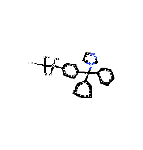 CCCCC(CCCC)(CCCC)[Si](C)(C)c1ccc(C(c2ccccc2)(c2ccccc2)n2ccnc2)cc1